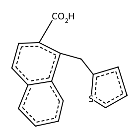 O=C(O)c1ccc2ccccc2c1Cc1cccs1